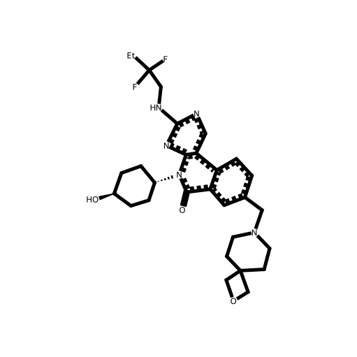 CCC(F)(F)CNc1ncc2c3ccc(CN4CCC5(CC4)COC5)cc3c(=O)n([C@H]3CC[C@H](O)CC3)c2n1